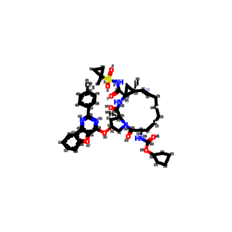 CC1(S(=O)(=O)NC(=O)[C@@]23C[C@H]2/C=C\CCCCC[C@H](NC(=O)OC2CCCC2)C(=O)N2C[C@@H](Oc4nc(-c5ccc(C(F)(F)F)cc5)nc5c4oc4ccccc45)C[C@H]2C(=O)N3)CC1